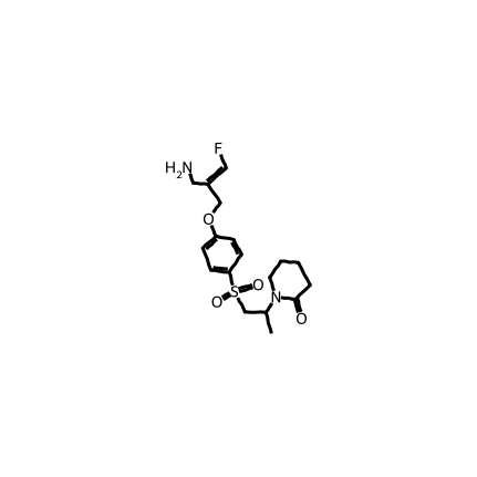 CC(CS(=O)(=O)c1ccc(OC/C(=C/F)CN)cc1)N1CCCCC1=O